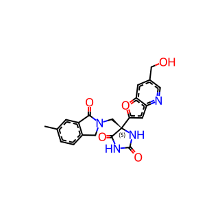 Cc1ccc2c(c1)C(=O)N(C[C@@]1(c3cc4ncc(CO)cc4o3)NC(=O)NC1=O)C2